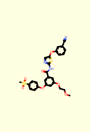 COCCOc1cc(Oc2ccc(S(C)(=O)=O)cc2)cc(C(=O)Nc2ncc(Oc3cccc(C#N)c3)s2)c1